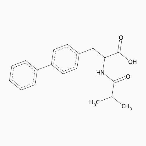 CC(C)C(=O)NC(Cc1ccc(-c2ccccc2)cc1)C(=O)O